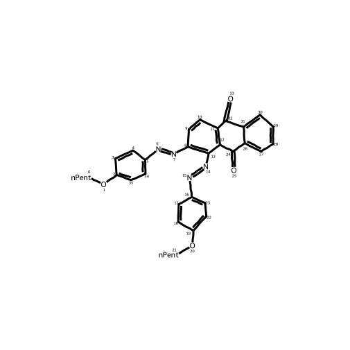 CCCCCOc1ccc(N=Nc2ccc3c(c2N=Nc2ccc(OCCCCC)cc2)C(=O)c2ccccc2C3=O)cc1